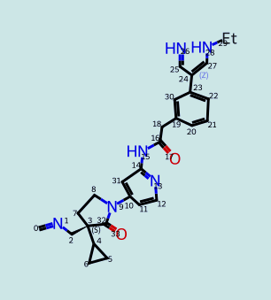 C=NC[C@@]1(C2CC2)CCN(c2ccnc(NC(=O)Cc3cccc(/C(C=N)=C/NCC)c3)c2)C1=O